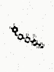 CC[C@H]1CN(c2ncc(-c3nnc[nH]3)nc2C)CCN1C1CCN(Cc2ccc(F)c(F)c2)CC1